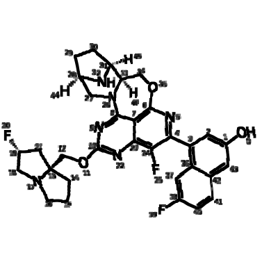 Oc1cc(-c2nc3c4c(nc(OC[C@@]56CCCN5C[C@H](F)C6)nc4c2F)N2C[C@H]4CC[C@H](N4)[C@H]2CO3)c2cc(F)ccc2c1